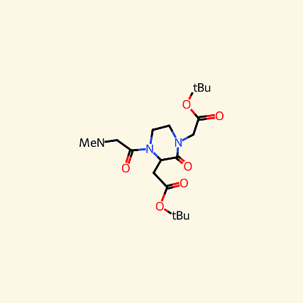 CNCC(=O)N1CCN(CC(=O)OC(C)(C)C)C(=O)C1CC(=O)OC(C)(C)C